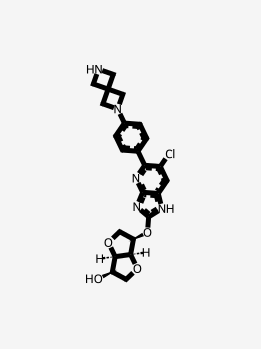 O[C@@H]1CO[C@H]2[C@@H]1OC[C@H]2Oc1nc2nc(-c3ccc(N4CC5(CNC5)C4)cc3)c(Cl)cc2[nH]1